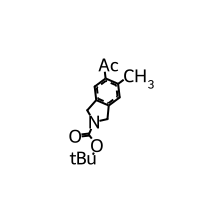 CC(=O)c1cc2c(cc1C)CN(C(=O)OC(C)(C)C)C2